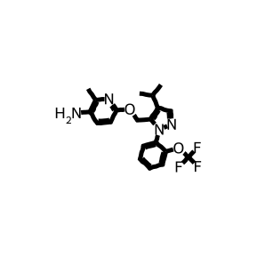 Cc1nc(OCc2c(C(C)C)cnn2-c2ccccc2OC(F)(F)F)ccc1N